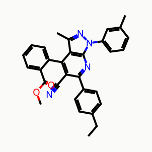 CCc1ccc(-c2nc3c(c(C)nn3-c3cccc(C)c3)c(-c3ccccc3C(=O)OC)c2C#N)cc1